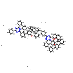 c1ccc(-c2nc(-c3cccc(-c4ccc5c(c4)C4(c6cc(-c7ccccc7-c7ccccc7-c7nc(-c8ccccc8)nc(-c8ccccc8)n7)ccc6O5)c5ccccc5-c5ccccc54)c3)nc(-c3cccc(-c4ccccc4-c4ccc5c(c4)C4(c6ccccc6O5)c5ccccc5-c5ccccc54)c3)n2)cc1